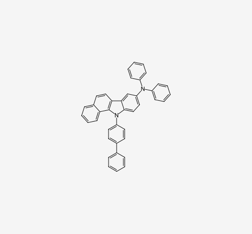 c1ccc(-c2ccc(-n3c4ccc(N(c5ccccc5)c5ccccc5)cc4c4ccc5ccccc5c43)cc2)cc1